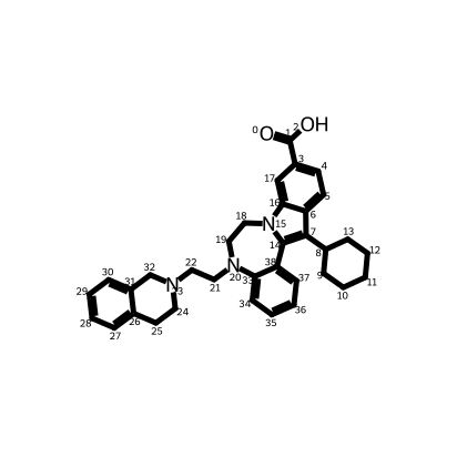 O=C(O)c1ccc2c(C3CCCCC3)c3n(c2c1)CCN(CCN1CCc2ccccc2C1)c1ccccc1-3